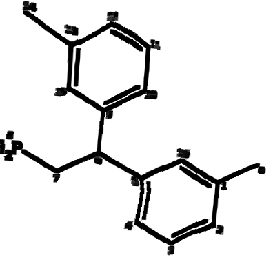 Cc1cccc(C(CP)c2cccc(C)c2)c1